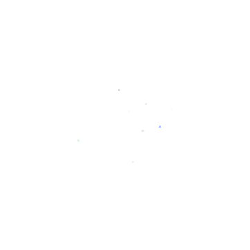 CC[SiH2]C1(C)C(C)=C(C)C(C)=C1[N]([Ti])C(C)(C)C.Cl.Cl